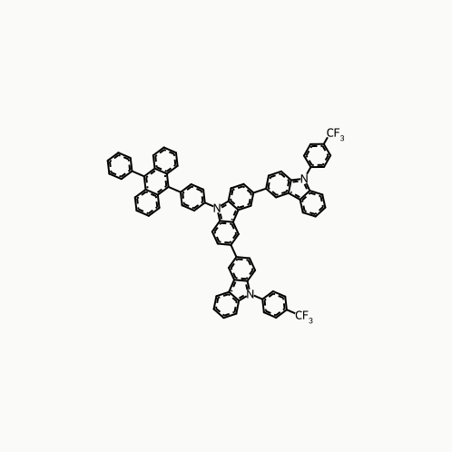 FC(F)(F)c1ccc(-n2c3ccccc3c3cc(-c4ccc5c(c4)c4cc(-c6ccc7c(c6)c6ccccc6n7-c6ccc(C(F)(F)F)cc6)ccc4n5-c4ccc(-c5c6ccccc6c(-c6ccccc6)c6ccccc56)cc4)ccc32)cc1